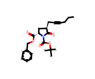 CCCC#CC[C@@H]1C[C@@H](C(=O)OCc2ccccc2)N(C(=O)OC(C)(C)C)C1=O